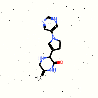 C=C1CNC(C2=CN(c3cncnc3)CC2)C(=O)N1